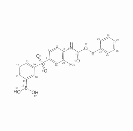 O=C(Nc1ccc(S(=O)(=O)c2cccc(B(O)O)c2)cc1F)OCc1ccccc1